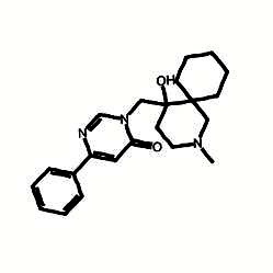 CN1CCC(O)(Cn2cnc(-c3ccccc3)cc2=O)C2(CCCCC2)C1